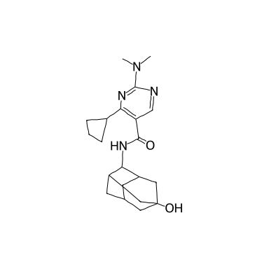 CN(C)c1ncc(C(=O)NC2C3CC4CC2CC(O)(C4)C3)c(C2CCC2)n1